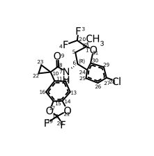 C[C@@]1(C(F)F)C[C@@H](NC(=O)C2(c3ccc4c(c3)OC(F)(F)O4)CC2)c2ccc(Cl)cc2O1